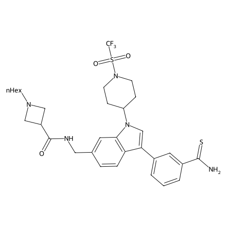 CCCCCCN1CC(C(=O)NCc2ccc3c(-c4cccc(C(N)=S)c4)cn(C4CCN(S(=O)(=O)C(F)(F)F)CC4)c3c2)C1